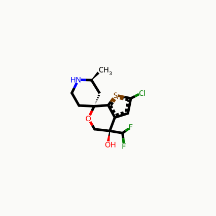 C[C@H]1C[C@@]2(CCN1)OC[C@@](O)(C(F)F)c1cc(Cl)sc12